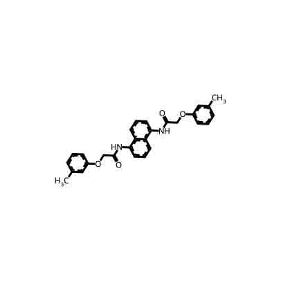 Cc1cccc(OCC(=O)Nc2cccc3c(NC(=O)COc4cccc(C)c4)cccc23)c1